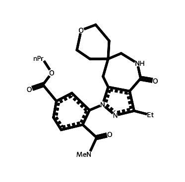 CCCOC(=O)c1ccc(C(=O)NC)c(-n2nc(CC)c3c2CC2(CCOCC2)CNC3=O)c1